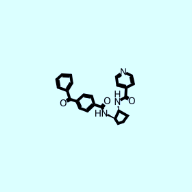 O=C(N[C@@H]1CCC[C@H]1NC(=O)c1ccc(C(=O)c2ccccc2)cc1)c1ccncc1